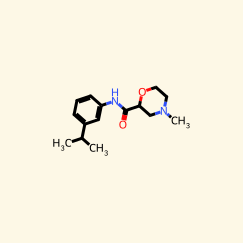 CC(C)c1cccc(NC(=O)C2CN(C)CCO2)c1